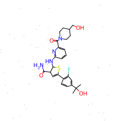 CC(C)(O)c1ccc(C2=CC(C(N)=O)C(Nc3cccc(C(=O)N4CCC(CO)CC4)n3)S2)c(F)c1